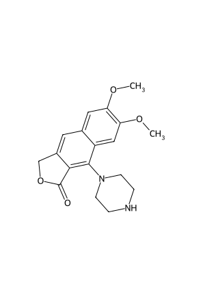 COc1cc2cc3c(c(N4CCNCC4)c2cc1OC)C(=O)OC3